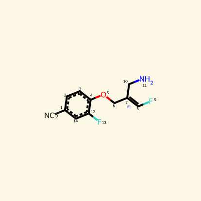 N#Cc1ccc(OC/C(=C/F)CN)c(F)c1